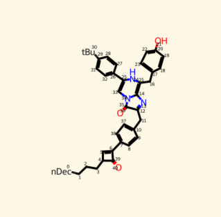 CCCCCCCCCCCCCC1C=C(c2ccc(Cc3nc4c(Cc5ccc(O)cc5)[nH]c(-c5ccc(C(C)(C)C)cc5)cn-4c3=O)cc2)C1=O